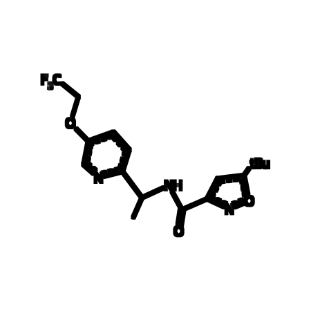 CC(NC(=O)c1cc(C(C)(C)C)on1)c1ccc(OCC(F)(F)F)cn1